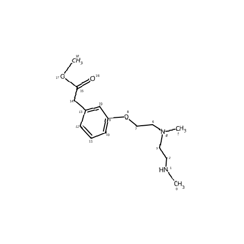 CNCCN(C)CCOc1cccc(CC(=O)OC)c1